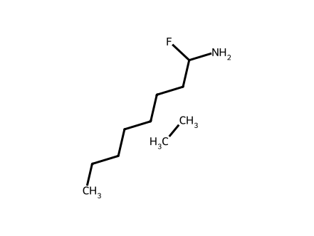 CC.CCCCCCCC(N)F